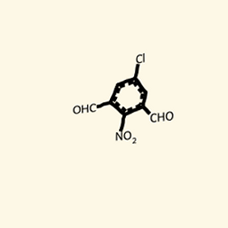 O=Cc1cc(Cl)cc(C=O)c1[N+](=O)[O-]